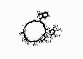 C[C@@H]1C/C=C/C=C/C=C/C=C/[C@H](O[C@@H]2O[C@H](C)[C@@H](O)[C@H](N)[C@@H]2O)C[C@@H]2O[C@](O)(C[C@@H](O)C[C@H]3O[C@@H]3/C=C/C(=O)O1)C[C@H](O)[C@H]2C(=O)O.O=C1OCc2ccccc21